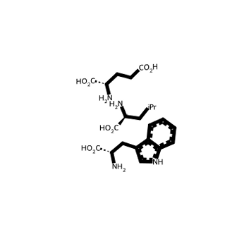 CC(C)C[C@H](N)C(=O)O.N[C@@H](CCC(=O)O)C(=O)O.N[C@@H](Cc1c[nH]c2ccccc12)C(=O)O